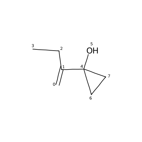 C=C(CC)C1(O)CC1